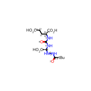 CC(C)(C)C(=O)NN[C@H](NC(=O)N[C@@H](CCC(=O)O)C(=O)O)C(=O)O